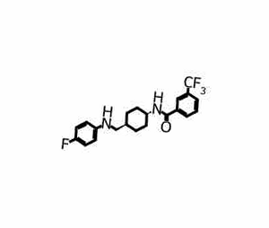 O=C(N[C@H]1CC[C@H](CNc2ccc(F)cc2)CC1)c1cccc(C(F)(F)F)c1